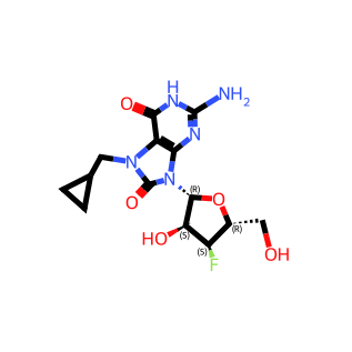 Nc1nc2c(c(=O)[nH]1)n(CC1CC1)c(=O)n2[C@@H]1O[C@H](CO)[C@@H](F)[C@H]1O